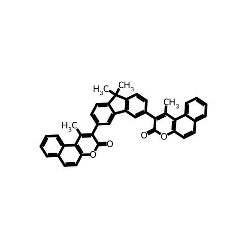 Cc1c(-c2ccc3c(c2)-c2cc(-c4c(C)c5c(ccc6ccccc65)oc4=O)ccc2C3(C)C)c(=O)oc2ccc3ccccc3c12